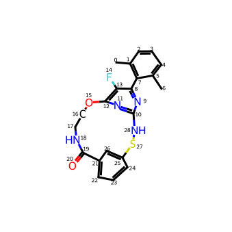 Cc1cccc(C)c1-c1nc2nc(c1F)OCCNC(=O)c1cccc(c1)SN2